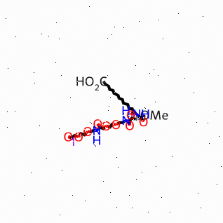 COC(=O)[C@H](CCC(=O)NCCOCCOCC(=O)NCCOCCOCC(=O)I)NC(=O)CCCCCCCCCCCCC(=O)O